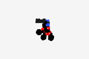 CSc1ncnn2c(C3O[C@H](COCc4ccccc4)[C@@H](OCc4ccccc4)[C@H]3OCc3ccccc3)ccc12